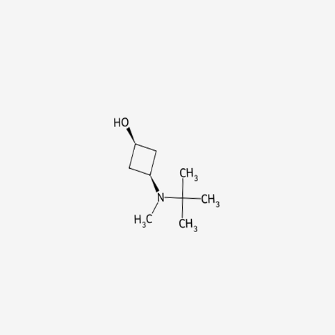 CN([C@H]1C[C@@H](O)C1)C(C)(C)C